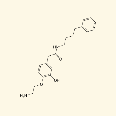 NCCOc1ccc(CC(=O)NCCCCc2ccccc2)cc1O